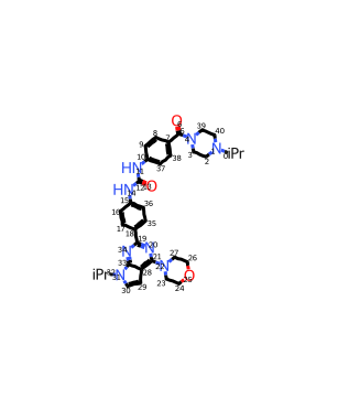 CC(C)N1CCN(C(=O)c2ccc(NC(=O)Nc3ccc(-c4nc(N5CCOCC5)c5ccn(C(C)C)c5n4)cc3)cc2)CC1